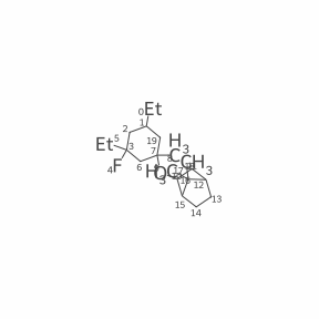 CCC1CC(F)(CC)CC(C)(OC2CC3CCC2C3(C)C)C1